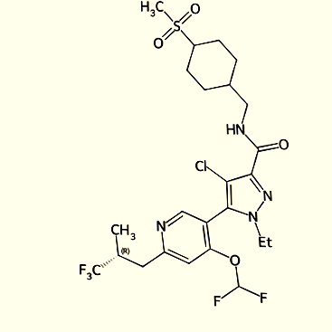 CCn1nc(C(=O)NCC2CCC(S(C)(=O)=O)CC2)c(Cl)c1-c1cnc(C[C@@H](C)C(F)(F)F)cc1OC(F)F